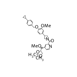 COc1cc(C2CN(C(=O)c3cc([C@@H](OC)C4COC(C)(C)O4)ccn3)C2)ccc1OCc1ccc(C2CC2)cc1